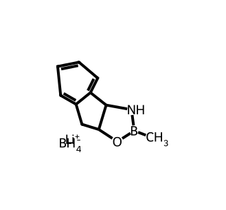 CB1NC2c3ccccc3CC2O1.[BH4-].[Li+]